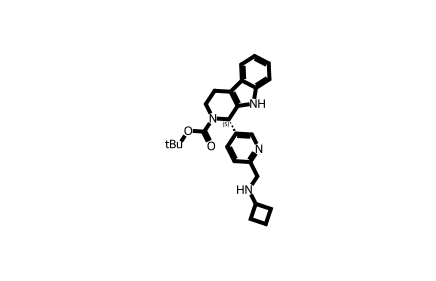 CC(C)(C)OC(=O)N1CCc2c([nH]c3ccccc23)[C@@H]1c1ccc(CNC2CCC2)nc1